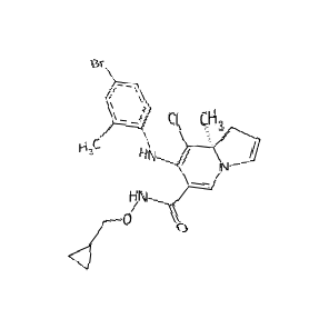 Cc1cc(Br)ccc1NC1=C(Cl)[C@@]2(C)CC=CN2C=C1C(=O)NOCC1CC1